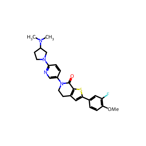 COc1ccc(-c2cc3c(s2)C(=O)N(c2ccc(N4CCC(N(C)C)C4)nc2)CC3)cc1F